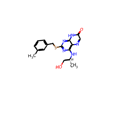 Cc1cccc(CSc2nc(N[C@H](C)CO)c3ncc(=O)[nH]c3n2)c1